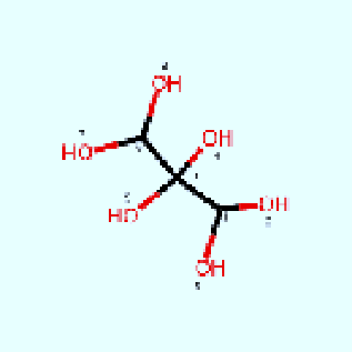 OC(O)C(O)(O)C(O)O